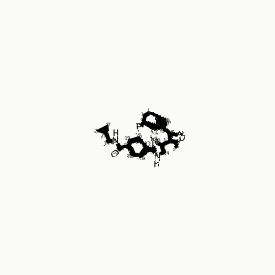 Cc1onc(-c2cccc(F)c2)c1-c1c[nH]c(-c2ccc(C(=O)NCC3CC3)cc2)n1